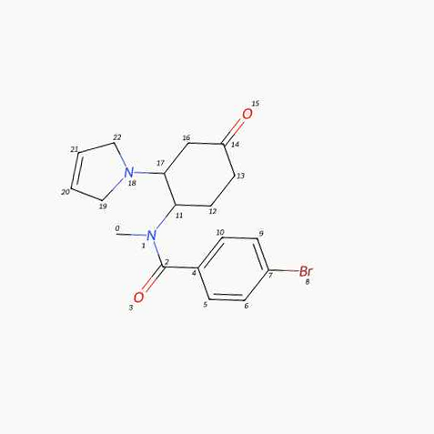 CN(C(=O)c1ccc(Br)cc1)C1CCC(=O)CC1N1CC=CC1